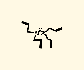 C=C[CH2][Al]([CH2]C=C)[O][Al]([CH2]C=C)[CH2]C=C